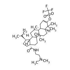 C=C(C)[C@@H]1CC[C@]2(C(=O)NCCN(C)C)CC[C@]3(C)[C@H](CCC4[C@@]5(C)CC=C(OS(=O)(=O)C(F)(F)F)C(C)(C)[C@@H]5CC[C@]43C)[C@@H]12